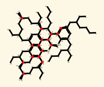 CCCCC(CC)Cc1cc(CC(CC)CCCC)c(OP(Oc2c(CC(CC)CCCC)cc(CC(CC)CCCC)cc2CC(CC)CCCC)Oc2c(CC(CC)CCCC)cc(CC(CC)CCCC)cc2CC(CC)CCCC)c(CC(CC)CCCC)c1